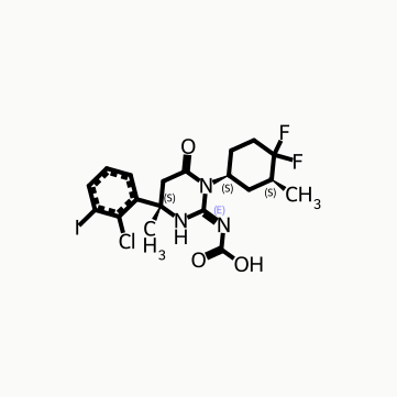 C[C@H]1C[C@@H](N2C(=O)C[C@@](C)(c3cccc(I)c3Cl)N/C2=N\C(=O)O)CCC1(F)F